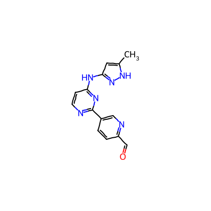 Cc1cc(Nc2ccnc(-c3ccc(C=O)nc3)n2)n[nH]1